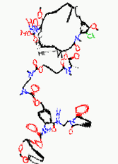 COc1cc2cc(c1Cl)N(C)C(=O)C[C@H](OC(=O)[C@H](C)N(C)C(=O)CCOC(=O)N(C)CCN(C)C(=O)OCc1ccc(NC(=O)OC3/C=C/COCOC3)c(C(=O)NCCN3C(=O)C=CC3=O)c1)[C@]1(C)C[C@H]1[C@H](C)[C@@H]1C[C@@](O)(NC(O)O1)[C@H](OC)/C=C/C=C(\C)C2